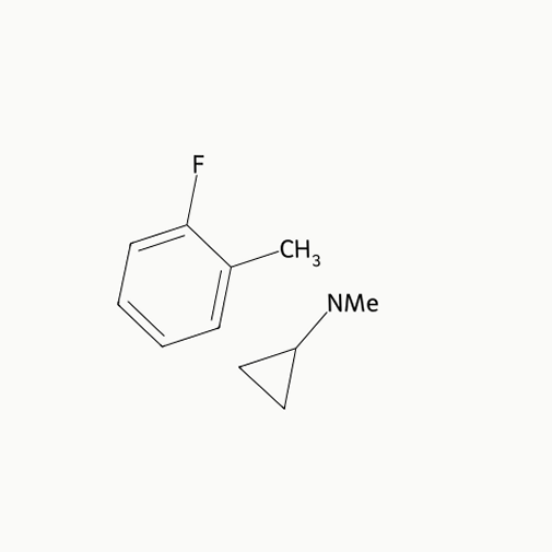 CNC1CC1.Cc1ccccc1F